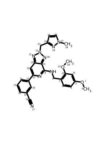 COc1ccc(CNc2nc(-c3cccc(C#N)c3)cc3nn(Cc4ccn(C)n4)nc23)c(OC)c1